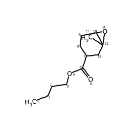 CCCCOC(=O)C1CCC2OC2(C)C1